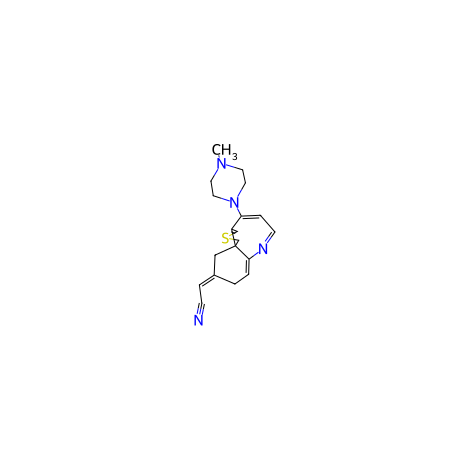 CN1CCN(C2=CC=NC3=CCC(=CC#N)CC34CSC=C24)CC1